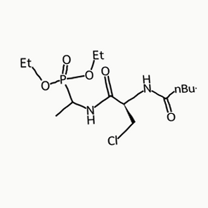 CCC[CH]C(=O)N[C@@H](CCl)C(=O)NC(C)P(=O)(OCC)OCC